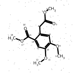 COC(=O)Cc1cc(OC)c(OC)cc1C(=O)OC